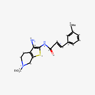 CCOC(=O)N1CCc2c(sc(NC(=O)/C=C/c3cccc(OC)c3)c2N)C1